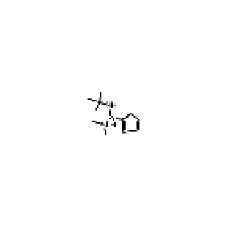 [CH3][SnH]([CH3])[Zr]([NH]C(C)(C)C)[C]1=CC=CC1